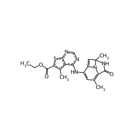 CCOC(=O)c1sc2ncnc(NC3=CC(C)=C4C(=O)NC5(C)C=C3N45)c2c1C